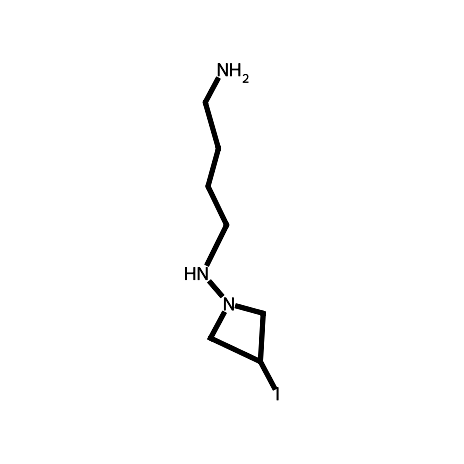 NCCCCNN1CC(I)C1